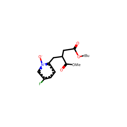 COC(=O)C(CC(=O)OC(C)(C)C)Cc1ccc(F)c[n+]1[O-]